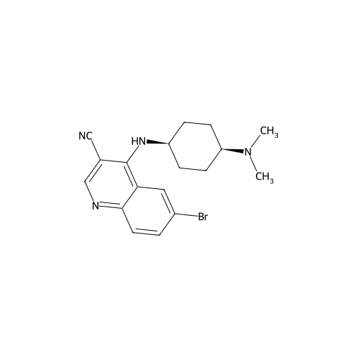 CN(C)[C@H]1CC[C@@H](Nc2c(C#N)cnc3ccc(Br)cc23)CC1